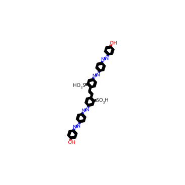 O=S(=O)(O)c1cc(N=Nc2ccc(N=Nc3ccc(O)cc3)cc2)ccc1C=Cc1ccc(N=Nc2ccc(N=Nc3ccc(O)cc3)cc2)cc1S(=O)(=O)O